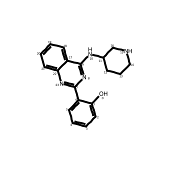 Oc1ccccc1-c1nc(NC2CCCNC2)c2ccccc2n1